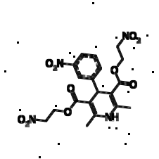 CC1=C(C(=O)OCC[N+](=O)[O-])C(c2cccc([N+](=O)[O-])c2)C(C(=O)OCC[N+](=O)[O-])=C(C)N1